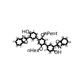 CCCCCCOc1cc(-c2ccc(O)c(-c3nc4ccccc4o3)c2)c(OCCCCC)cc1-c1ccc(O)c(-c2nc3ccccc3o2)c1